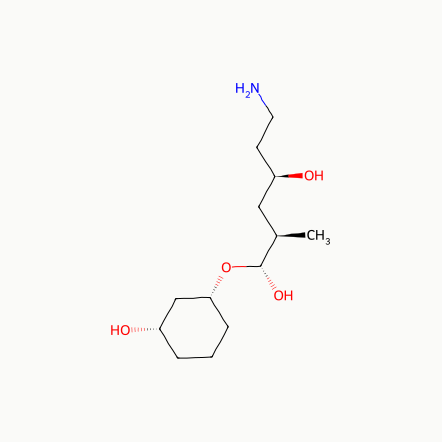 C[C@H](C[C@H](O)CCN)[C@H](O)O[C@@H]1CCC[C@H](O)C1